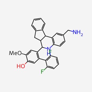 COc1cc(C2Nc3ccc(CN)cc3C3c4ccccc4CC23)c(-c2c(F)cccc2F)cc1O